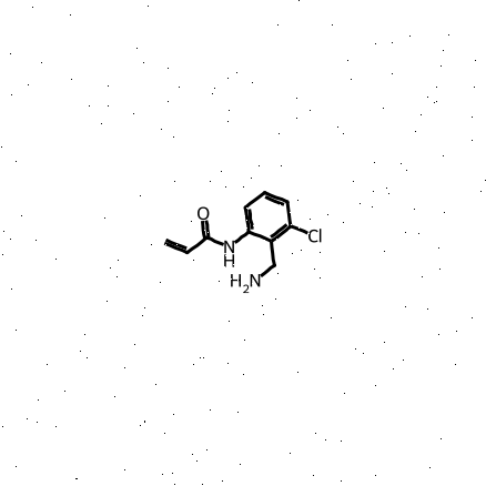 C=CC(=O)Nc1cccc(Cl)c1CN